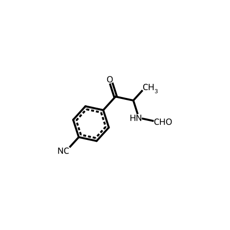 CC(NC=O)C(=O)c1ccc(C#N)cc1